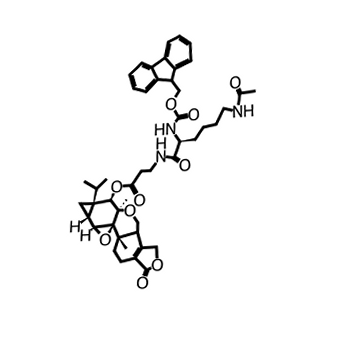 CC(=O)NCCCC[C@H](NC(=O)OCC1c2ccccc2-c2ccccc21)C(=O)NCCC(=O)O[C@@H]1[C@@]2(C(C)C)C[C@H]2[C@@H]2O[C@@]23[C@@]2(C)CCC4=C(COC4=O)C2CO[C@]13C